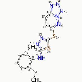 CCc1cccc(C)c1Nc1nnc(Sc2ccc3nnnn3n2)s1